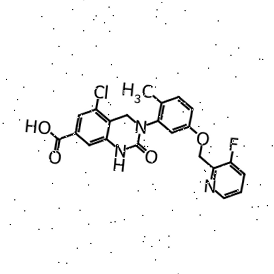 Cc1ccc(OCc2ncccc2F)cc1N1Cc2c(Cl)cc(C(=O)O)cc2NC1=O